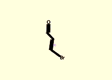 O=[C]/C=C/Br